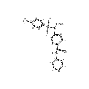 CON(c1ccc(C(=O)Nc2ccccc2)cc1)S(=O)(=O)c1ccc([N+](=O)[O-])cc1